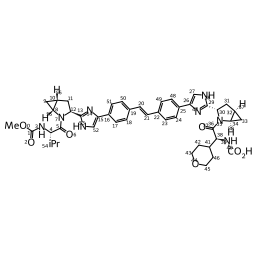 COC(=O)N[C@H](C(=O)N1[C@@H]2C[C@@H]2C[C@H]1c1nc(-c2ccc(/C=C/c3ccc(-c4c[nH]c([C@@H]5C[C@H]6C[C@H]6N5C(=O)[C@@H](NC(=O)O)C5CCOCC5)n4)cc3)cc2)c[nH]1)C(C)C